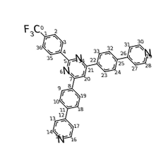 FC(F)(F)c1ccc(-c2nc(-c3ccc(-c4ccncc4)cc3)cc(-c3ccc(-c4ccncc4)cc3)n2)cc1